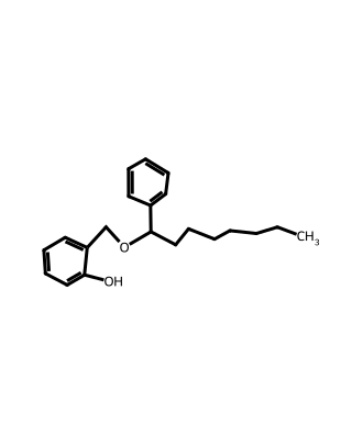 CCCCCCCC(OCc1ccccc1O)c1ccccc1